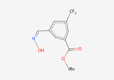 CC(C)(C)OC(=O)c1cc(/C=N\O)cc(C(F)(F)F)c1